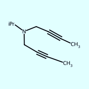 CC#CCN(CC#CC)C(C)C